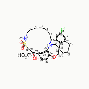 CN1CCCCCCCN2C[C@@]3(CCCc4cc(Cl)ccc43)COc3ccc(cc32)[C@](O)(C(=O)O)CS1(=O)=O